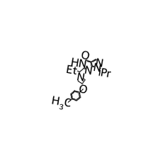 CCC(c1nc2c(cnn2C(C)C)c(=O)[nH]1)N1CC(Oc2ccc(C)cc2)C1